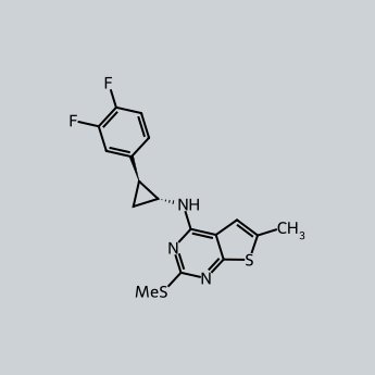 CSc1nc(N[C@@H]2C[C@H]2c2ccc(F)c(F)c2)c2cc(C)sc2n1